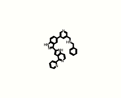 c1ccc(CNCc2cncc(-c3ccc4[nH]nc(-c5cc6c(-c7ccccn7)nccc6[nH]5)c4c3)c2)cc1